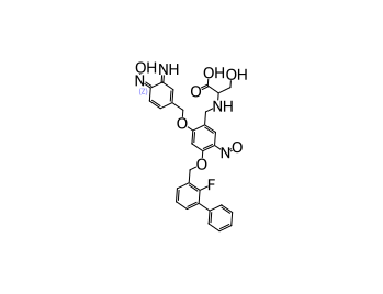 N=C1C=C(COc2cc(OCc3cccc(-c4ccccc4)c3F)c(N=O)cc2CNC(CO)C(=O)O)C=C/C1=N/O